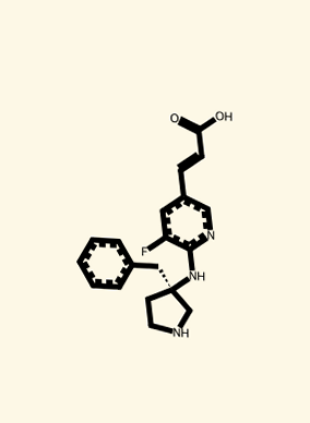 O=C(O)/C=C/c1cnc(N[C@]2(Cc3ccccc3)CCNC2)c(F)c1